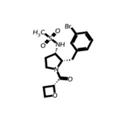 CS(=O)(=O)N[C@H]1CCN(C(=O)[C@H]2CCO2)[C@H]1Cc1cccc(Br)c1